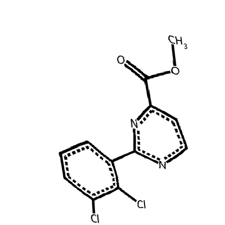 COC(=O)c1ccnc(-c2cccc(Cl)c2Cl)n1